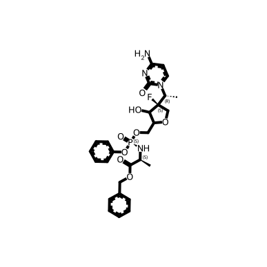 C[C@H](N[P@](=O)(OCC1OC[C@@](F)([C@@H](C)n2ccc(N)nc2=O)C1O)Oc1ccccc1)C(=O)OCc1ccccc1